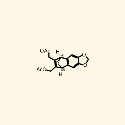 CC(=O)OCC1=C(COC(C)=O)[C@@H]2O[C@H]1c1cc3c(cc12)OCO3